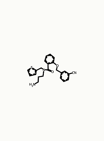 N#Cc1cccc(COc2ccccc2C(=O)N(CCCN)Cc2cccs2)c1